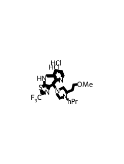 CCCN1CCN(C2=c3ncccc3=CNc3sc(C(F)(F)F)nc32)CC1CCOC.Cl.Cl